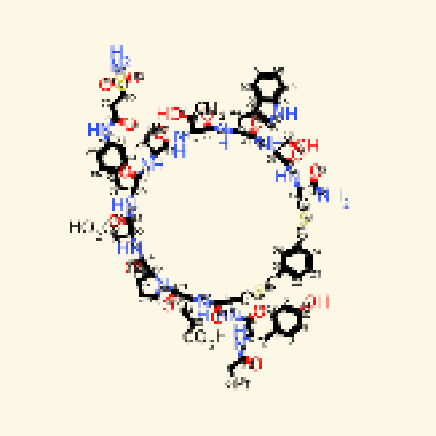 CC(C)CC(=O)N[C@@H](Cc1ccc(O)cc1)C(=O)N[C@H]1CSCc2cccc(c2)CSC[C@@H](C(N)=O)NC(=O)[C@H](CO)NC(=O)[C@H](Cc2c[nH]c3ccccc23)NC(=O)[C@H]([C@@H](C)O)NC(=O)[C@H](CC(C)C)NC(=O)[C@H](Cc2ccc(NC(=O)CCS(N)(=O)=O)cc2)NC(=O)[C@H](CC(=O)O)NC(=O)[C@H]2CCCN2C(=O)[C@H](CCC(=O)O)NC1=O